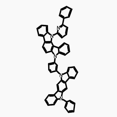 c1ccc(-c2cccc(-n3c4ccccc4c4ccc5c(c6ccccc6n5-c5cccc(-n6c7ccccc7c7cc8c(cc76)c6ccccc6n8-c6ccccc6)c5)c43)n2)cc1